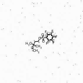 COC(C)(C)CCOS(=O)(=O)c1c(F)c(F)c(F)c(F)c1F